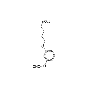 CCCCCCCCCCCCOc1cccc(OC=O)c1